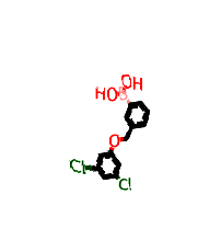 OB(O)c1cccc(COc2cc(Cl)cc(Cl)c2)c1